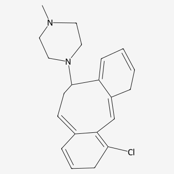 CN1CCN(C2C/C=C3/C=CCC(Cl)=C3/C=C3/CC=CC=C32)CC1